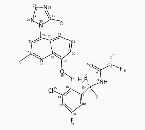 B[C@@](C)(NC(=O)[C@H](C)F)c1cc(F)cc(Cl)c1COc1cccc2c(-n3ncnc3C)cc(C)nc12